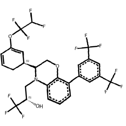 O[C@@H](CN1c2cccc(-c3cc(C(F)(F)F)cc(C(F)(F)F)c3)c2OCC1[C@@H]1C=C(OC(F)(F)C(F)F)C=CC1)C(F)(F)F